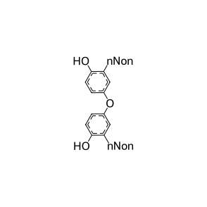 CCCCCCCCCc1cc(Oc2ccc(O)c(CCCCCCCCC)c2)ccc1O